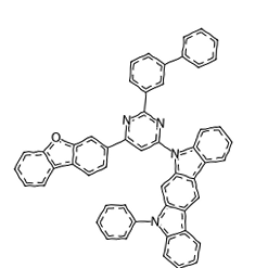 c1ccc(-c2cccc(-c3nc(-c4ccc5c(c4)oc4ccccc45)cc(-n4c5ccccc5c5cc6c7ccccc7n(-c7ccccc7)c6cc54)n3)c2)cc1